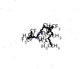 CC(C)=CCCC(C)=CCCC(C)=CCCC(CCC(C)=CCC/C(C)=C/CC/C(C)=C\CCC(C)(OCC(F)(F)F)OCC(F)(F)F)(OCC(F)(F)F)OCC(F)(F)F